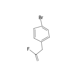 C=C(F)Cc1ccc(Br)cc1